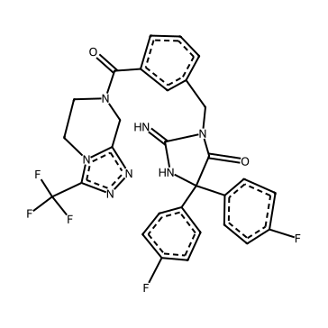 N=C1NC(c2ccc(F)cc2)(c2ccc(F)cc2)C(=O)N1Cc1cccc(C(=O)N2CCn3c(nnc3C(F)(F)F)C2)c1